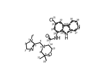 CN1CCN=C1CN1CC(C)(C)OC[C@H]1C(=O)Nc1cc(Cl)cc2c1[nH]c1cnccc12